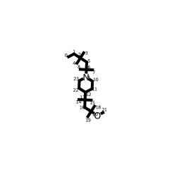 CCC(C)(C)CC(C)(C)N1CCC(C(C)(C)CC(C)(C)OC)CC1